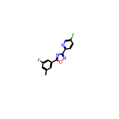 Cc1cc(F)cc(-c2nc(-c3ccc(F)cn3)no2)c1